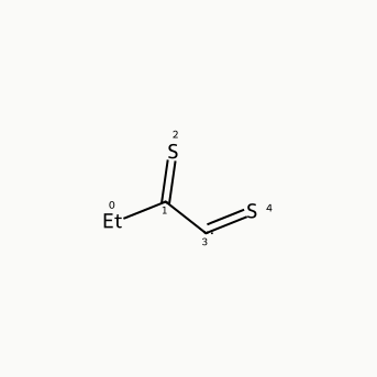 CCC(=S)[C]=S